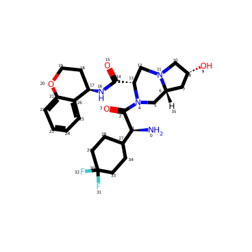 N[C@H](C(=O)N1C[C@H]2C[C@@H](O)CN2C[C@H]1C(=O)N[C@@H]1CCOc2ccccc21)C1CCC(F)(F)CC1